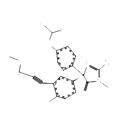 COCC#Cc1cc([C@@]2(c3ccc(OC(F)F)cc3)N=C(N)N(C)C2=O)ccc1F